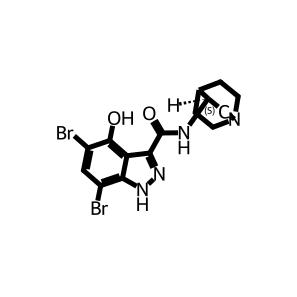 O=C(N[C@@H]1CN2CCC1CC2)c1n[nH]c2c(Br)cc(Br)c(O)c12